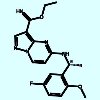 CCOC(=N)c1cnn2ccc(N[C@H](C)c3cc(F)ccc3OC)nc12